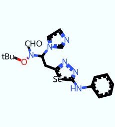 CC(C)(C)ON(C=O)C(Cc1nnc(Nc2ccccc2)[se]1)n1ccnc1